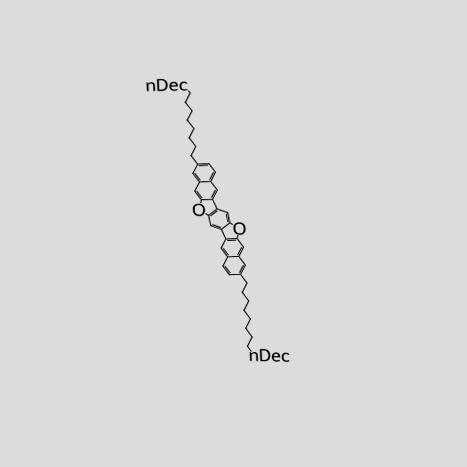 CCCCCCCCCCCCCCCCCCc1ccc2cc3c(cc2c1)oc1cc2c(cc13)oc1cc3cc(CCCCCCCCCCCCCCCCCC)ccc3cc12